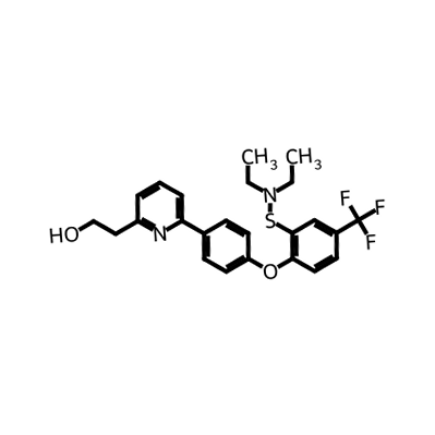 CCN(CC)Sc1cc(C(F)(F)F)ccc1Oc1ccc(-c2cccc(CCO)n2)cc1